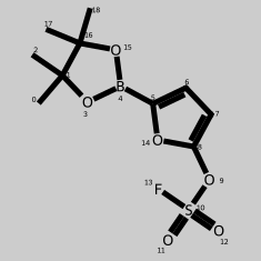 CC1(C)OB(c2ccc(OS(=O)(=O)F)o2)OC1(C)C